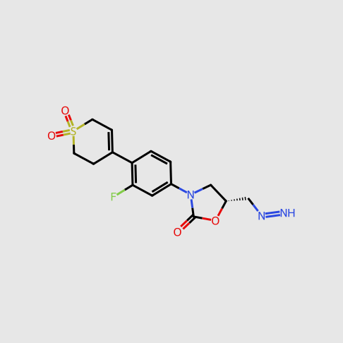 N=NC[C@H]1CN(c2ccc(C3=CCS(=O)(=O)CC3)c(F)c2)C(=O)O1